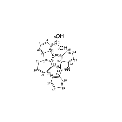 OB(O)c1cccc2c3c(sc12)C(n1c(-c2ccccc2)nc2ccccc21)=CC=CC3